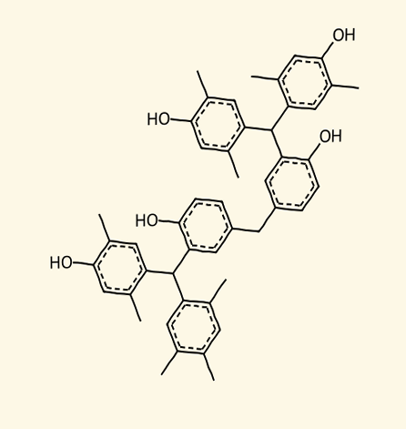 Cc1cc(C)c(C(c2cc(C)c(O)cc2C)c2cc(Cc3ccc(O)c(C(c4cc(C)c(O)cc4C)c4cc(C)c(O)cc4C)c3)ccc2O)cc1C